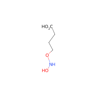 O=C(O)CCCONO